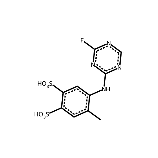 Cc1cc(S(=O)(=O)O)c(S(=O)(=O)O)cc1Nc1n[c]nc(F)n1